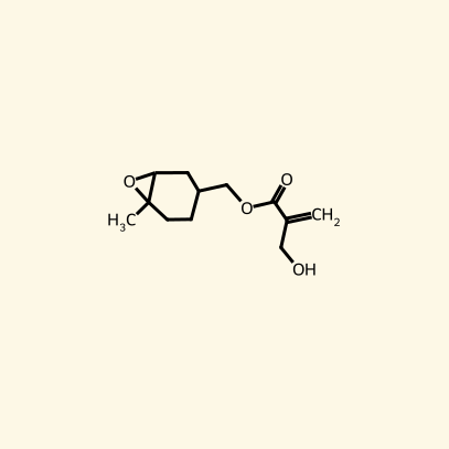 C=C(CO)C(=O)OCC1CCC2(C)OC2C1